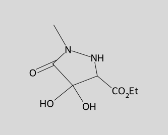 CCOC(=O)C1NN(C)C(=O)C1(O)O